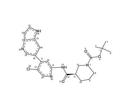 CC(C)(C)OC(=O)N1CCC[C@@H](C(=O)Nc2cc(-c3cnc4cc[nH]c4c3)c(Cl)cn2)C1